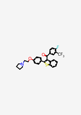 O=C(c1ccc(F)c(C(F)(F)F)c1)c1c(-c2ccc(OCCN3CCCC3)cc2)sc2ccccc12